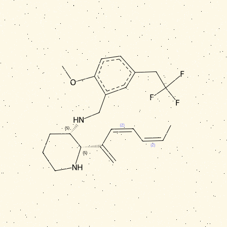 C=C(/C=C\C=C/C)[C@@H]1NCCC[C@@H]1NCc1cc(CC(F)(F)F)ccc1OC